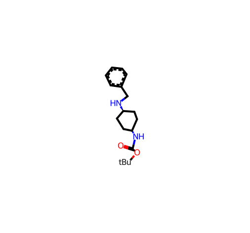 CC(C)(C)OC(=O)N[C@H]1CC[C@@H](NCc2ccccc2)CC1